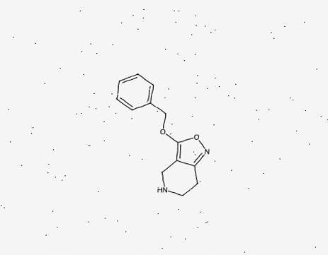 c1ccc(COc2onc3c2CNCC3)cc1